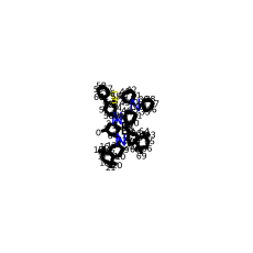 Cc1cc2c3c(c1)N(c1ccc4c(c1)C(C)(C)CCC4(C)C)c1cc4c(cc1B3c1ccc(N(c3ccccc3)c3ccccc3)cc1N2c1ccc2c(c1)sc1ccccc12)C(C)(C)CCC4(C)C